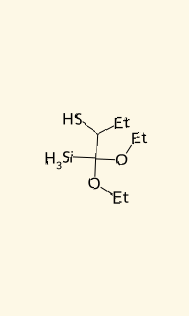 CCOC([SiH3])(OCC)C(S)CC